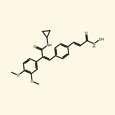 COc1ccc(C(=Cc2ccc(C=CC(=O)NO)cc2)C(=O)NC2CC2)cc1OC